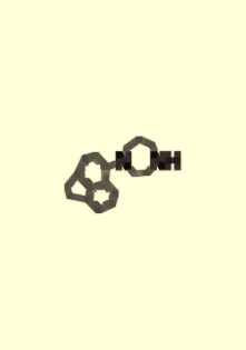 c1cc2c3c(ccc(N4CCCNCC4)c3c1)CC2